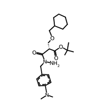 CN(C)c1ccc(CN(N)C(=O)[C@H](COCC2CCCCC2)C(=O)OC(C)(C)C)cc1